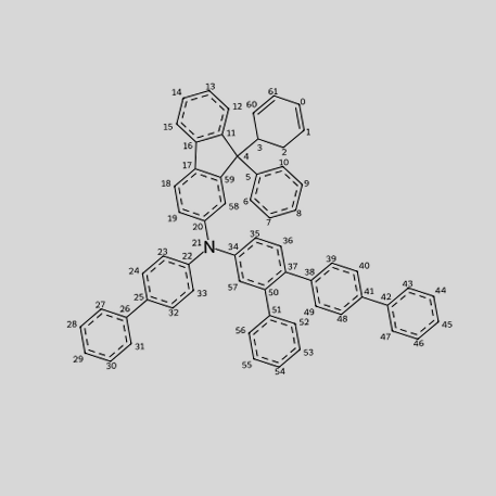 C1=CCC(C2(c3ccccc3)c3ccccc3-c3ccc(N(c4ccc(-c5ccccc5)cc4)c4ccc(-c5ccc(-c6ccccc6)cc5)c(-c5ccccc5)c4)cc32)C=C1